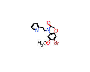 COc1cc2c(cc1Br)OCC(=O)N2CCc1ccccn1